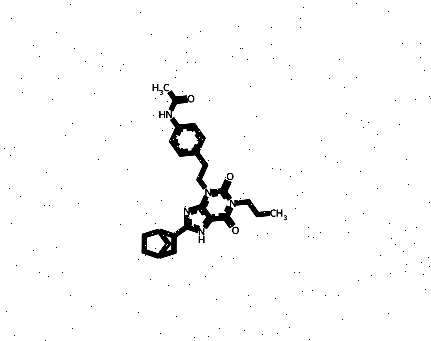 CCCn1c(=O)c2[nH]c(C3CC4CCC3C4)nc2n(CCc2ccc(NC(C)=O)cc2)c1=O